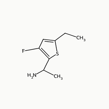 CCc1cc(F)c(C(C)N)s1